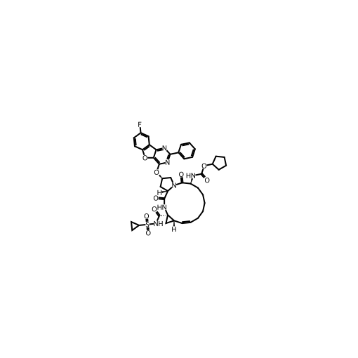 O=C(N[C@H]1CCCCC/C=C\[C@@H]2C[C@@]2(C(=O)NS(=O)(=O)C2CC2)NC(=O)[C@@H]2C[C@@H](Oc3nc(-c4ccccc4)nc4c3oc3ccc(F)cc34)CN2C1=O)OC1CCCC1